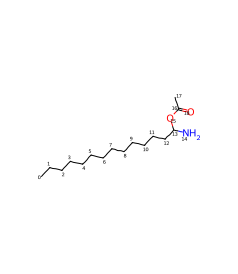 CCCCCCCCCCCCCC(N)OC(C)=O